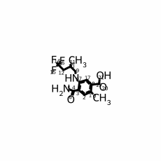 Cc1cc(C(N)=O)c(NCC(C)CC(F)(F)F)cc1C(=O)O